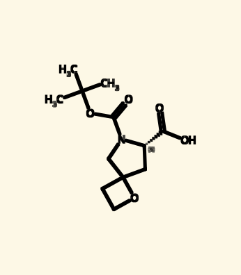 CC(C)(C)OC(=O)N1CC2(CCO2)C[C@H]1C(=O)O